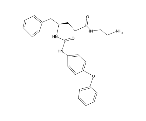 NCCNC(=O)CC[C@H](Cc1ccccc1)NC(=O)Nc1ccc(Oc2ccccc2)cc1